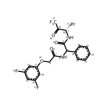 CC(C)[C@H](NC(=O)C(NC(=O)COc1cc(F)cc(F)c1)c1ccccc1)C(=O)C(F)(F)F